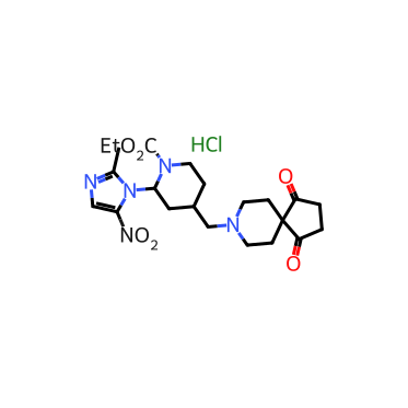 CCOC(=O)N1CCC(CN2CCC3(CC2)C(=O)CCC3=O)CC1n1c([N+](=O)[O-])cnc1C.Cl